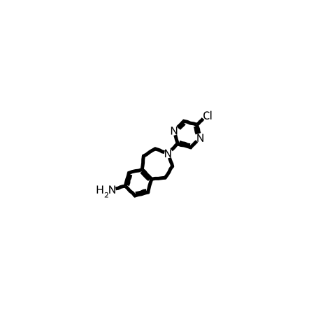 Nc1ccc2c(c1)CCN(c1cnc(Cl)cn1)CC2